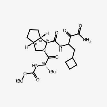 CC(C)(C)OC(=O)N[C@H](C(=O)N1C[C@@H]2CCC[C@@H]2[C@H]1C(=O)NC(CC1CCC1)C(=O)C(N)=O)C(C)(C)C